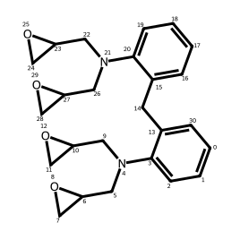 c1ccc(N(CC2CO2)CC2CO2)c(Cc2ccccc2N(CC2CO2)CC2CO2)c1